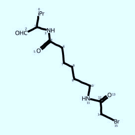 CC(C)C(C=O)NC(=O)CCCCCNC(=O)CBr